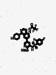 CNc1ncc(-c2ccc3ncnc(N4CCNCC4)c3c2)cc1NS(=O)(=O)c1ccc(F)cc1F.O=C(O)C(F)(F)F